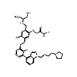 CCNC(=O)COc1cc(OCc2cccc(-c3cccc4c3cnn4CCCCN3CCCC3)c2Br)c(Cl)cc1CNC(CO)C(=O)O